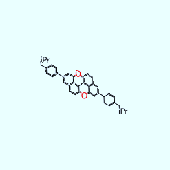 CC(C)CC1=CCC(c2cc3ccc4oc5cc(-c6ccc(CC(C)C)cc6)cc6ccc7oc(c2)c3c4-c7c65)C=C1